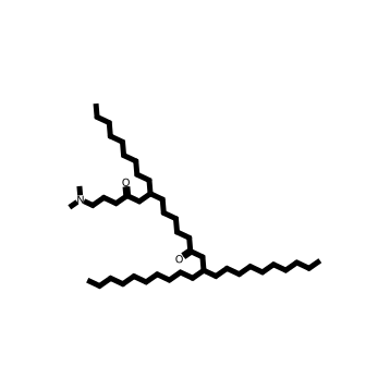 CCCCCCCCCCC(CCCCCCCCCC)CC(=O)CCCCCC(CCCCCCCCC)CC(=O)CCCN(C)C